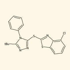 CC(C)(C)c1nnc(Sc2nc3c(Cl)cccc3s2)n1-c1ccccc1